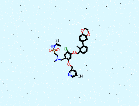 C=C(CC)NS(=O)(=O)CCN(C)Cc1cc(Cl)c(OCc2cccc(-c3ccc4c(c3)OCCO4)c2C)cc1OCc1cncc(C#N)c1